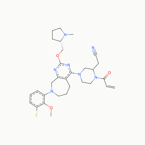 C=CC(=O)N1CCN(c2nc(OC[C@@H]3CCCN3C)nc3c2CCCN(c2cccc(F)c2OC)C3)CC1CC#N